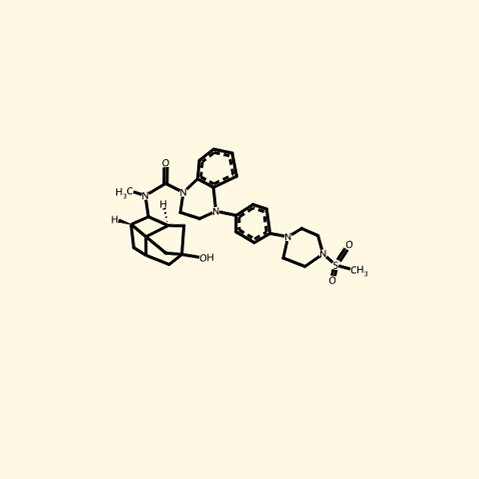 CN(C(=O)N1CCN(c2ccc(N3CCN(S(C)(=O)=O)CC3)cc2)c2ccccc21)C1[C@@H]2CC3C[C@H]1CC(O)(C3)C2